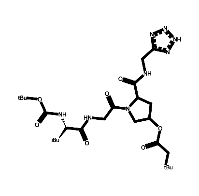 CC[C@H](C)[C@H](NC(=O)OC(C)(C)C)C(=O)NCC(=O)N1CC(OC(=O)CC(C)(C)C)CC1C(=O)NCc1nn[nH]n1